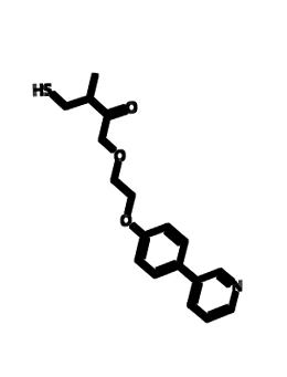 CC(CS)C(=O)COCCOc1ccc(-c2cccnc2)cc1